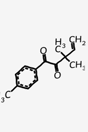 C=CC(C)(C)C(=O)C(=O)c1ccc(C)cc1